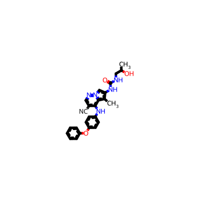 Cc1c(NC(=O)NCC(C)O)cn2ncc(C#N)c(Nc3ccc(Oc4ccccc4)cc3)c12